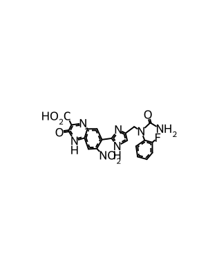 NC(=O)N(Cc1c[nH]c(-c2cc3nc(C(=O)O)c(=O)[nH]c3cc2[N+](=O)[O-])n1)c1ccccc1F